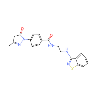 CC1=NN(c2ccc(C(=O)NCCNc3nsc4ccccc34)cc2)C(=O)C1